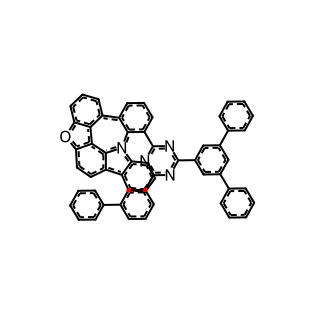 c1ccc(-c2cccc(-c3nc(-c4cc(-c5ccccc5)cc(-c5ccccc5)c4)nc(-c4cccc5c6cccc7oc8ccc9c%10ccccc%10n(c45)c9c8c76)n3)c2)cc1